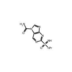 CCCS(=N)(=O)c1ncc2c(ncn2C(N)=O)n1